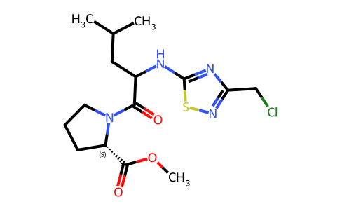 COC(=O)[C@@H]1CCCN1C(=O)C(CC(C)C)Nc1nc(CCl)ns1